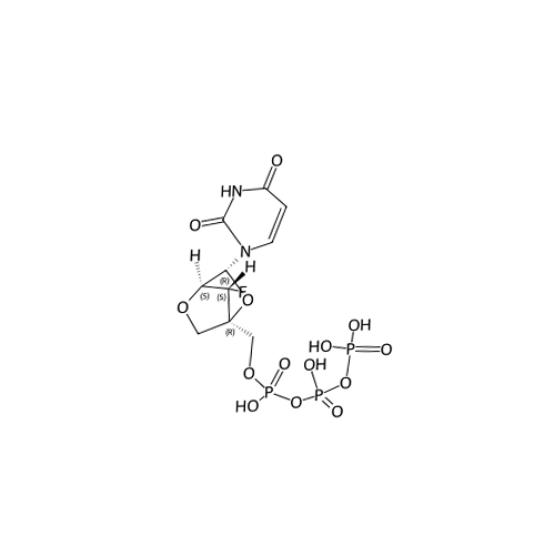 O=c1ccn([C@@H]2O[C@@]3(COP(=O)(O)OP(=O)(O)OP(=O)(O)O)CO[C@@H]2[C@@H]3F)c(=O)[nH]1